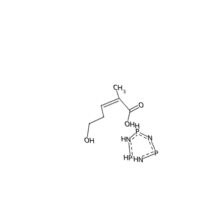 CC(=CCCO)C(=O)O.n1p[nH][pH][nH][pH]1